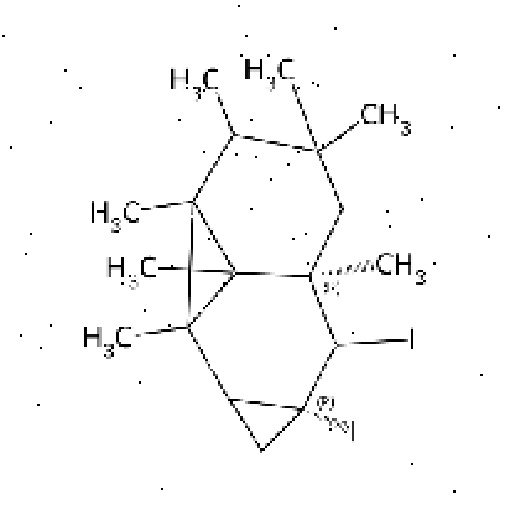 CC1C(C)(C)C[C@@]2(C)C(I)[C@@]3(I)CC3C3(C)C1(C)C32C